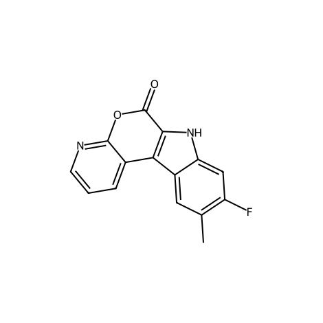 Cc1cc2c(cc1F)[nH]c1c(=O)oc3ncccc3c12